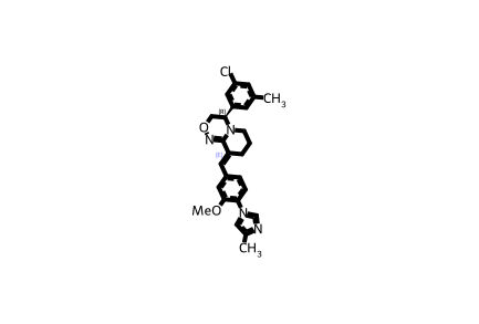 COc1cc(/C=C2\CCCN3C2=NOC[C@H]3c2cc(C)cc(Cl)c2)ccc1-n1cnc(C)c1